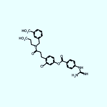 N=C(N)Nc1ccc(C(=O)Oc2ccc(CCC(=O)N(CCC(=O)O)Cc3cccc(C(=O)O)c3)c(Cl)c2)cc1